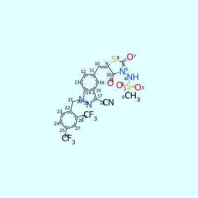 CS(=O)(=O)NN1C(=O)SC(=Cc2ccc3c(c2)c(C#N)nn3Cc2ccc(C(F)(F)F)cc2C(F)(F)F)C1=O